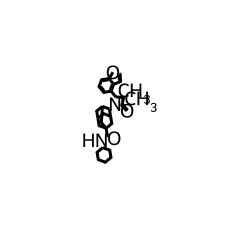 CC1(C)C(=O)N(C2C3CC4CC2CC(C(=O)NC2CCCCC2)(C4)C3)C1c1cccc2occc12